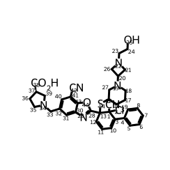 CC1(Cl)C(c2ccccc2)=CC=CC1(SC1CCCN(C2CN(CCO)C2)C1)c1nc2cc(CN3CC[C@@H](C(=O)O)C3)cc(C#N)c2o1